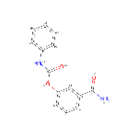 NC(=O)c1cccc(OC(=O)Nc2ccccc2)c1